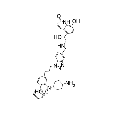 N[C@H]1CC[C@H](N(C(=O)O)c2cc(CCCn3nnc4cc(CNCC(O)c5ccc(O)c6[nH]c(=O)ccc56)ccc43)ccc2-c2ccccc2)CC1